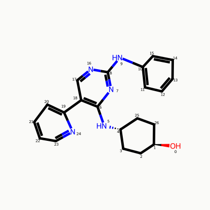 O[C@H]1CC[C@H](Nc2nc(Nc3ccccc3)ncc2-c2ccccn2)CC1